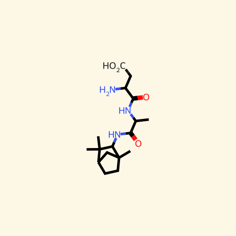 CC(NC(=O)C(N)CC(=O)O)C(=O)NC1C2(C)CCC(C2)C1(C)C